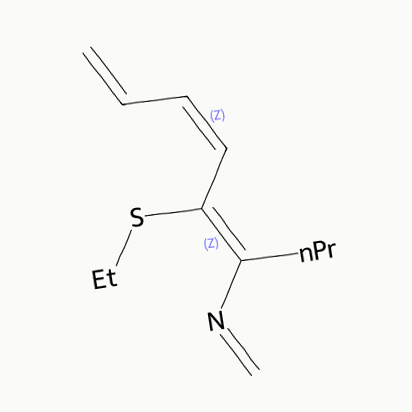 C=C/C=C\C(SCC)=C(/CCC)N=C